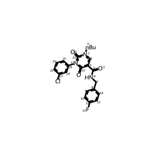 CCCCn1cc(C(=O)NCc2ccc(F)cc2)c(=O)n(-c2cccc(Cl)c2)c1=O